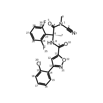 CN(C#N)C(=O)[C@@](C)(NC(=O)c1cc(-c2ccccc2Cl)no1)c1c(F)cccc1F